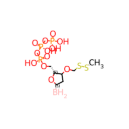 B[C@H]1CC(OCSSC)[C@@H](COP(=O)(O)OP(=O)(O)OP(=O)(O)O)O1